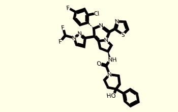 O=C(N[C@H]1CC2=C(c3ccn(C(F)F)n3)[C@H](c3ccc(F)cc3Cl)N=C(c3nccs3)N2C1)N1CCC(O)(c2ccccc2)CC1